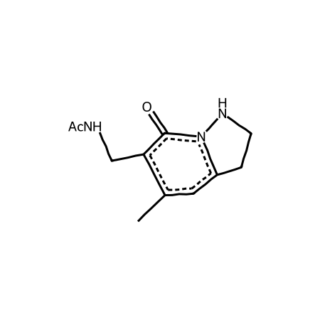 CC(=O)NCc1c(C)cc2n(c1=O)NCC2